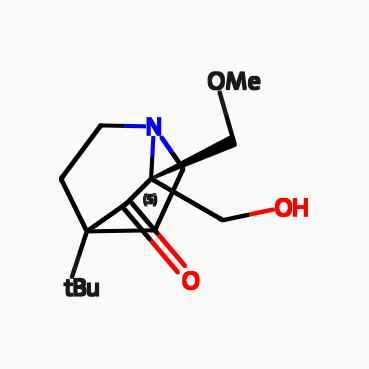 COC[C@@]1(CO)C(=O)C2(C(C)(C)C)CCN1CC2